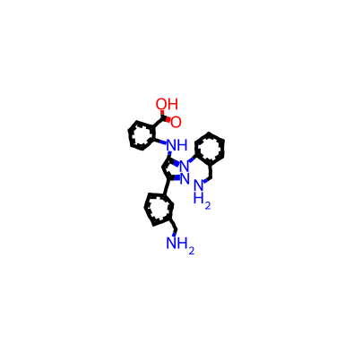 NCc1cccc(-c2cc(Nc3ccccc3C(=O)O)n(-c3ccccc3CN)n2)c1